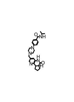 CC(C)NC(=O)c1ccc(N2CCN(Cc3cnc4c(c3)NC(=O)[C@@H]3CCCC43)CC2)cc1